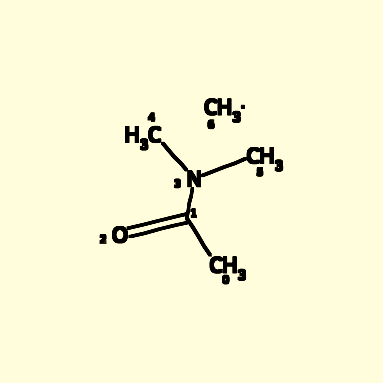 CC(=O)N(C)C.[CH3]